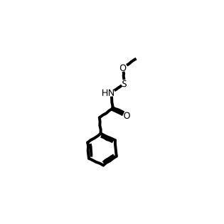 COSNC(=O)Cc1ccccc1